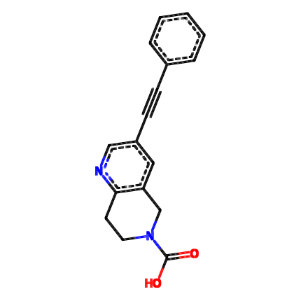 O=C(O)N1CCc2ncc(C#Cc3ccccc3)cc2C1